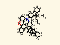 CC1(C)c2ccccc2-c2ccc(N(c3ccc(-c4ccccc4)cc3)c3cccc4oc5c6ccccc6c(-c6ccc(-c7ccccc7)cc6)cc5c34)cc21